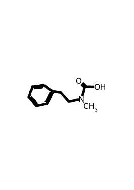 CN(CCc1ccccc1)C(=O)O